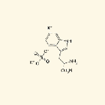 N[C@@H](Cc1c[nH]c2ccccc12)C(=O)O.O=S(=O)([O-])[O-].[K+].[K+]